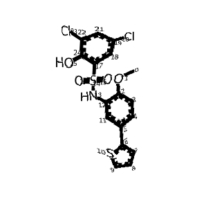 COc1ccc(-c2cccs2)cc1NS(=O)(=O)c1cc(Cl)cc(Cl)c1O